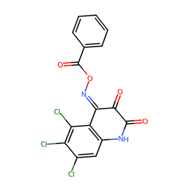 O=C1Nc2cc(Cl)c(Cl)c(Cl)c2C(=NOC(=O)c2ccccc2)C1=O